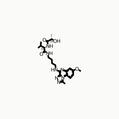 COc1ccc2c(c1)nc(NCCCCNC(=O)[C@@H](NC(=O)[C@H](C)O)C(C)C)c1nnc(C)n12